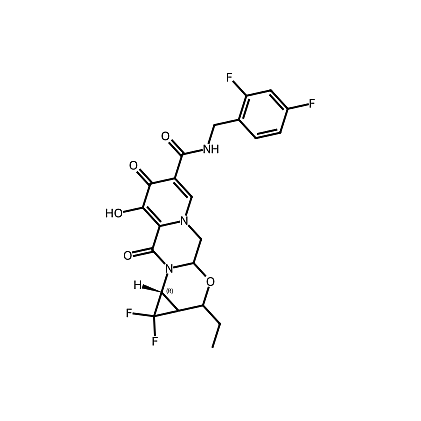 CCC1OC2Cn3cc(C(=O)NCc4ccc(F)cc4F)c(=O)c(O)c3C(=O)N2[C@@H]2C1C2(F)F